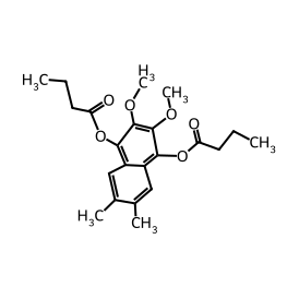 CCCC(=O)Oc1c(OC)c(OC)c(OC(=O)CCC)c2cc(C)c(C)cc12